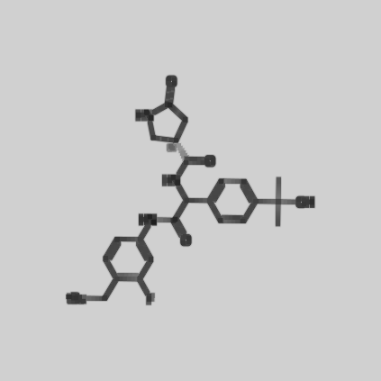 CC(C)(C)Cc1ccc(NC(=O)C(NC(=O)[C@@H]2CNC(=O)C2)c2ccc(C(C)(C)O)cc2)cc1F